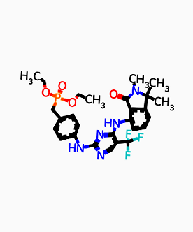 CCOP(=O)(Cc1ccc(Nc2ncc(C(F)(F)F)c(Nc3cccc4c3C(=O)N(C)C4(C)C)n2)cc1)OCC